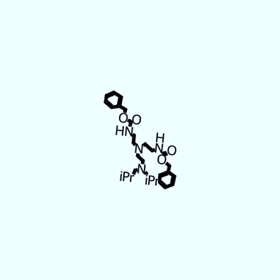 CC(C)CN(CCN(CCNC(=O)OCc1ccccc1)CCNC(=O)OCc1ccccc1)CC(C)C